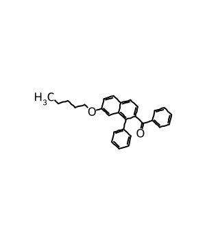 CCCCCOc1ccc2ccc(C(=O)c3ccccc3)c(-c3ccccc3)c2c1